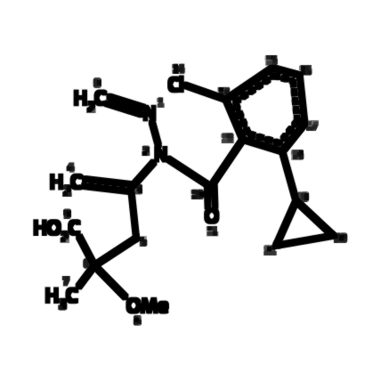 C=NN(C(=C)CC(C)(OC)C(=O)O)C(=O)c1c(Cl)cccc1C1CC1